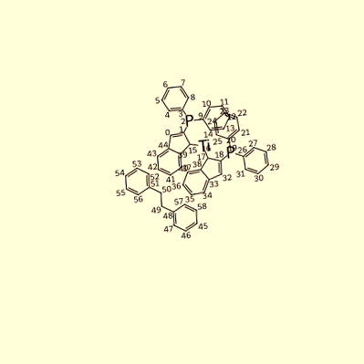 C1=C(P(c2ccccc2)c2ccccc2)[CH]([Ti][CH]2C(P(c3ccccc3)c3ccccc3)=Cc3ccccc32)c2ccccc21.c1ccc(CCc2ccccc2)cc1